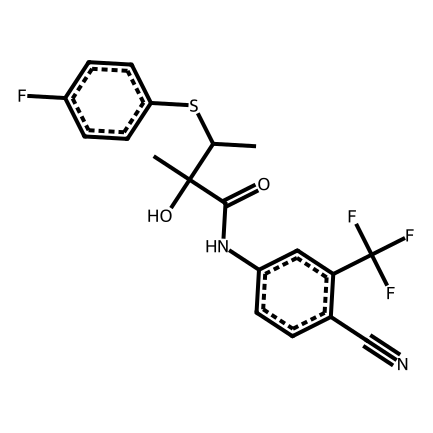 CC(Sc1ccc(F)cc1)C(C)(O)C(=O)Nc1ccc(C#N)c(C(F)(F)F)c1